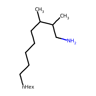 CCCCCCCCCCCC(C)C(C)CN